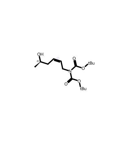 C[C@@H](O)C/C=C\CN(C(=O)OC(C)(C)C)C(=O)OC(C)(C)C